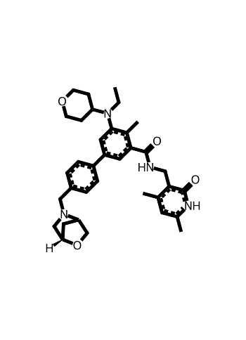 CCN(c1cc(-c2ccc(CN3C[C@@H]4CC3CO4)cc2)cc(C(=O)NCc2c(C)cc(C)[nH]c2=O)c1C)C1CCOCC1